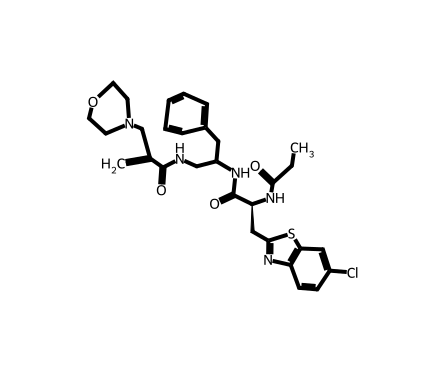 C=C(CN1CCOCC1)C(=O)NCC(Cc1ccccc1)NC(=O)[C@H](Cc1nc2ccc(Cl)cc2s1)NC(=O)CC